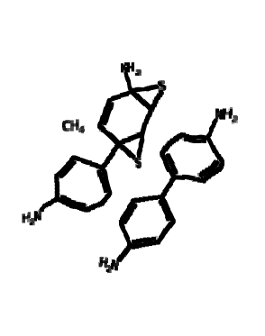 C.Nc1ccc(-c2ccc(N)cc2)cc1.Nc1ccc(C23C=CC4(N)SC4C2S3)cc1